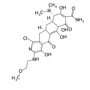 COCCNc1nc(Cl)c2c(c1O)C(=O)C1=C(O)[C@]3(O)C(=O)C(C(N)=O)=C(O)[C@@H](N(C)C)[C@@H]3C[C@@H]1C2